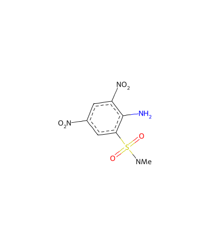 CNS(=O)(=O)c1cc([N+](=O)[O-])cc([N+](=O)[O-])c1N